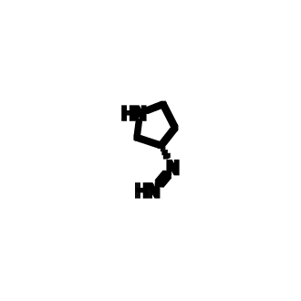 N=N[C@H]1CCNC1